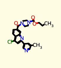 CCCOC(=O)N1CCN(C(=O)c2ccc3c(Cl)cc(-c4cncc(C)c4)nc3c2)CC1